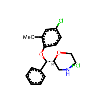 COc1cc(Cl)ccc1OC(c1ccccc1)[C@H]1CNCCO1.Cl